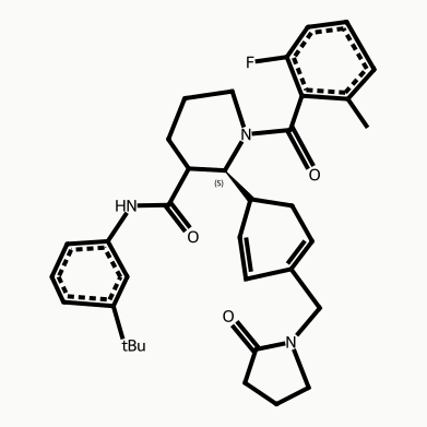 Cc1cccc(F)c1C(=O)N1CCCC(C(=O)Nc2cccc(C(C)(C)C)c2)[C@@H]1C1C=CC(CN2CCCC2=O)=CC1